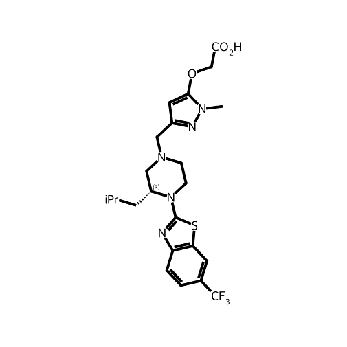 CC(C)C[C@@H]1CN(Cc2cc(OCC(=O)O)n(C)n2)CCN1c1nc2ccc(C(F)(F)F)cc2s1